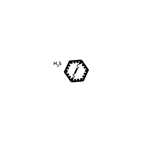 S.c1cc2ccc1CS2